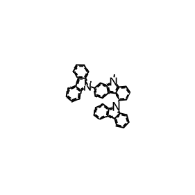 Cn1c2cc(-n3c4ccccc4c4ccccc43)ccc2c2c(-n3c4ccccc4c4ccccc43)cccc21